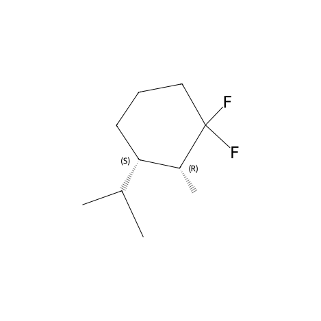 CC(C)[C@@H]1CCCC(F)(F)[C@@H]1C